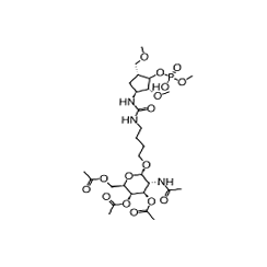 COC[C@H]1C[C@H](NC(=O)NCCCCO[C@@H]2O[C@H](COC(C)=O)[C@H](OC(C)=O)[C@H](OC(C)=O)[C@H]2NC(C)=O)[C@@H](OC)C1OP(=O)(O)OC